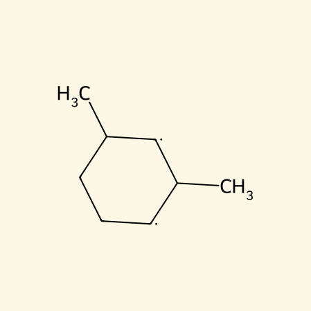 CC1[CH]CCC(C)[CH]1